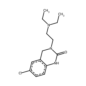 CCN(CC)CCN1Cc2cc(Cl)ccc2NC1=O